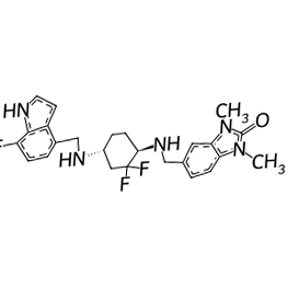 Cn1c(=O)n(C)c2cc(CN[C@@H]3CC[C@@H](NCc4ccc(F)c5[nH]ccc45)CC3(F)F)ccc21